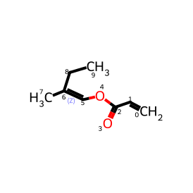 C=CC(=O)O/C=C(/C)CC